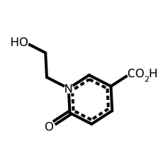 O=C(O)c1ccc(=O)n(CCO)c1